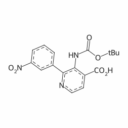 CC(C)(C)OC(=O)Nc1c(C(=O)O)ccnc1-c1cccc([N+](=O)[O-])c1